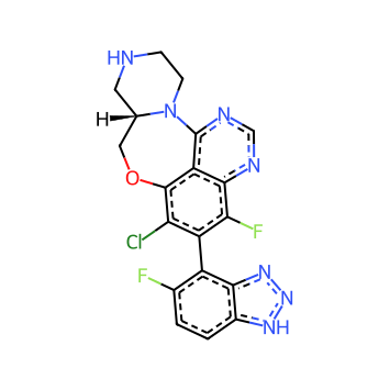 Fc1ccc2[nH]nnc2c1-c1c(Cl)c2c3c(ncnc3c1F)N1CCNC[C@H]1CO2